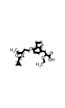 CCOC(Cc1ccc(OCCc2nc(C3CC3)oc2C)c2ccsc12)C(=O)O